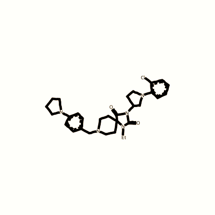 CCN1C(=O)N(C2CCN(c3ccccc3Cl)C2)C(=O)C12CCN(Cc1ccc(N3CCCC3)cc1)CC2